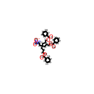 O=C(OCCCC(CCCOC(=O)c1ccccc1)(CCCOC(=O)c1ccccc1)CC[N+](=O)[O-])c1ccccc1